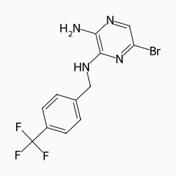 Nc1ncc(Br)nc1NCc1ccc(C(F)(F)F)cc1